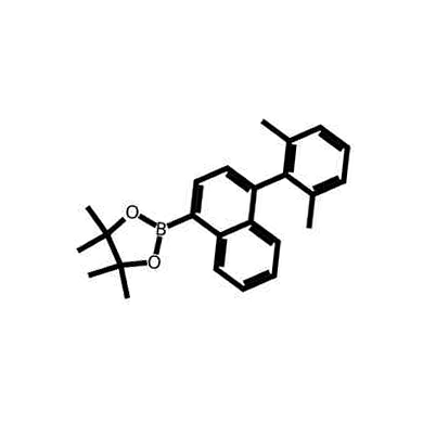 Cc1cccc(C)c1-c1ccc(B2OC(C)(C)C(C)(C)O2)c2ccccc12